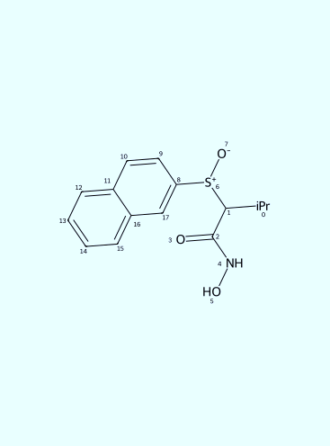 CC(C)C(C(=O)NO)[S+]([O-])c1ccc2ccccc2c1